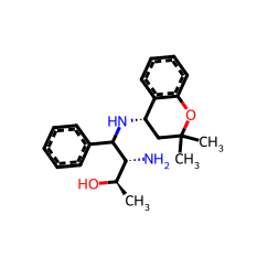 C[C@@H](O)[C@@H](N)C(N[C@H]1CC(C)(C)Oc2ccccc21)c1ccccc1